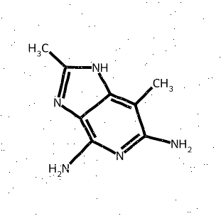 Cc1nc2c(N)nc(N)c(C)c2[nH]1